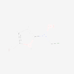 ON(CCl)c1ccc(Br)o1